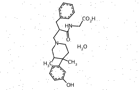 CC1CN(CC(Cc2ccccc2)C(=O)NCC(=O)O)CCC1(C)c1cccc(O)c1.O